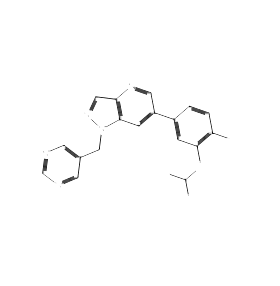 FC(F)Oc1cc(-c2cnc3cnn(Cc4cncnc4)c3c2)ccc1Cl